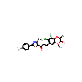 CCC(Oc1ccc(CCC(=O)c2sc(-c3ccc(C(F)(F)F)cc3)nc2C)c(Cl)c1Cl)C(=O)OC(C)(C)C